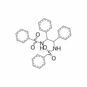 O=S(=O)(NC(c1ccccc1)C(NS(=O)(=O)c1ccccc1)c1ccccc1)c1ccccc1